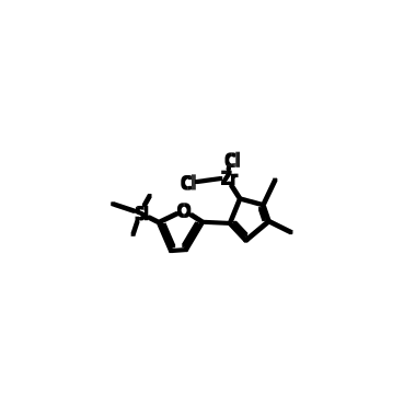 CC1=C(C)[CH]([Zr]([Cl])[Cl])C(c2ccc([Si](C)(C)C)o2)=C1